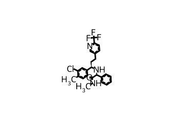 CNC(=O)[C@@H](N[C@H](CCc1ccc(C(F)(F)F)nc1)c1ccc(C)c(Cl)c1)c1ccccc1